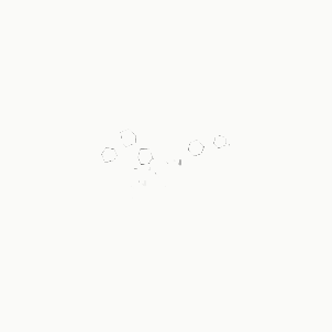 Cc1ncsc1-c1ccc([C@H](C)NC(=O)[C@@H]2C[C@@H](O)CN2C(=O)C(NC(=O)C2(F)CC2)C(C)(C)SC(c2ccccc2)(c2ccccc2)c2ccccc2)cc1